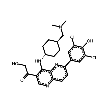 CN(C)C[C@H]1CC[C@H](Nc2c(C(=O)CO)cnc3ccc(-c4cc(Cl)c(O)c(Cl)c4)nc23)CC1